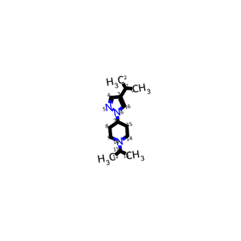 CC(C)c1cnn(C2CCN(C(C)C)CC2)c1